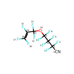 N#CC(F)(F)C(F)(F)C(F)(F)OC(F)(F)C(F)=C(F)F